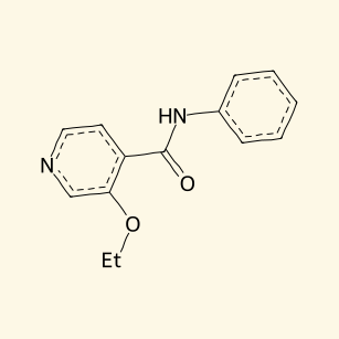 CCOc1cnccc1C(=O)Nc1ccccc1